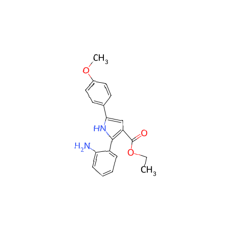 CCOC(=O)c1cc(-c2ccc(OC)cc2)[nH]c1-c1ccccc1N